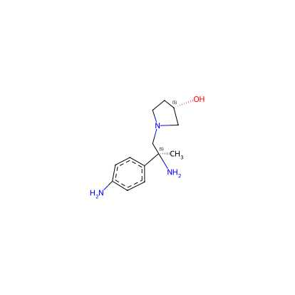 C[C@@](N)(CN1CC[C@H](O)C1)c1ccc(N)cc1